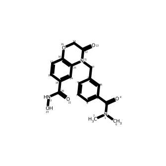 CN(C)C(=O)c1cccc(CN2C(=O)COc3ccc(C(=O)NO)cc32)c1